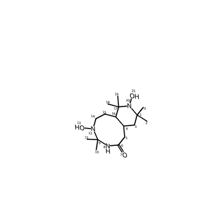 CC1(C)CC2CC(=O)NC(C)(C)N(O)CCC2C(C)(C)N1O